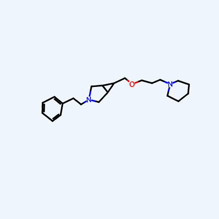 c1ccc(CCN2CC3C(COCCCN4CCCCC4)C3C2)cc1